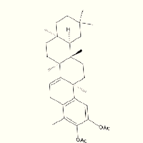 CC(=O)Oc1cc2c(c(C)c1OC(C)=O)CC=C1[C@@]2(C)CC[C@@]2(C)[C@@H]3CC(C)(C)CC[C@]3(C)CC[C@]12C